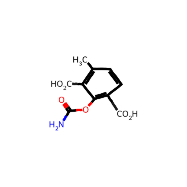 Cc1ccc(C(=O)O)c(OC(N)=O)c1C(=O)O